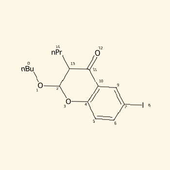 CCCCOC1Oc2ccc(I)cc2C(=O)C1CCC